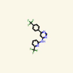 FC(F)(F)c1ccc(-c2cc(Nc3cccc(C(F)(F)F)n3)ncn2)cc1